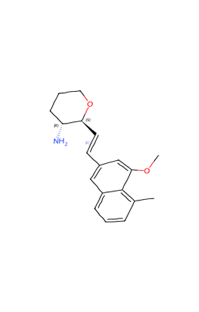 COc1cc(/C=C/[C@@H]2OCCC[C@H]2N)cc2cccc(C)c12